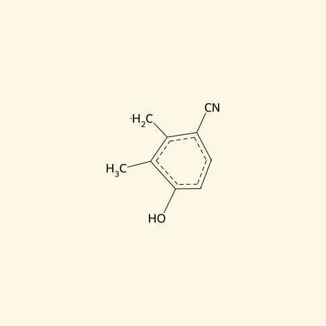 [CH2]c1c(C#N)ccc(O)c1C